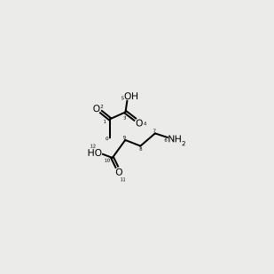 CC(=O)C(=O)O.NCCCC(=O)O